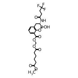 COC(=O)CCCCC(=O)OCOC(=O)c1cccc2c1OB(O)[C@@H](NC(=O)CCC(F)(F)F)C2